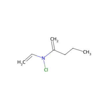 C=CN(Cl)C(=C)CCC